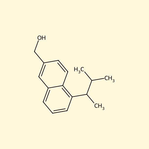 CC(C)C(C)c1cccc2cc(CO)ccc12